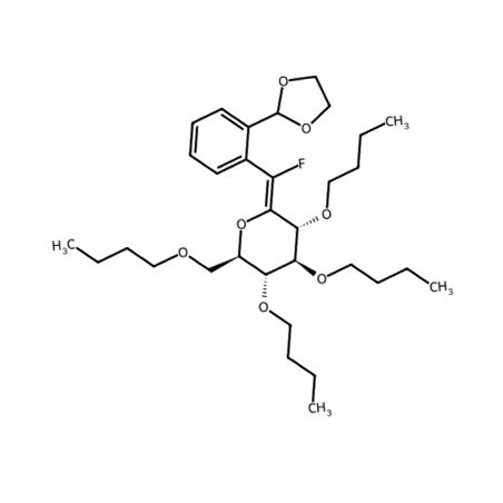 CCCCOC[C@H]1OC(=C(F)c2ccccc2C2OCCO2)[C@H](OCCCC)[C@@H](OCCCC)[C@@H]1OCCCC